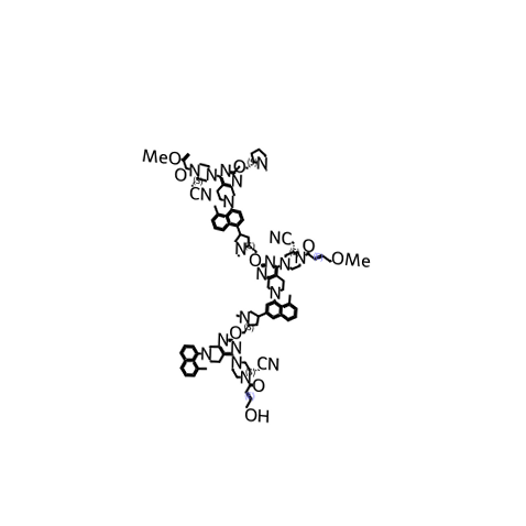 C=C(OC)C(=O)N1CCN(c2nc(OC[C@@H]3CCCN3C)nc3c2CCN(c2ccc(C4C[C@@H](COc5nc6c(c(N7CCN(C(=O)/C=C/COC)[C@@H](CC#N)C7)n5)CCN(c5cc(C7C[C@@H](COc8nc9c(c(N%10CCN(C(=O)/C=C/CO)[C@@H](CC#N)C%10)n8)CCN(c8cccc%10cccc(C)c8%10)C9)N(C)C7)cc7cccc(C)c57)C6)N(C)C4)c4cccc(C)c24)C3)C[C@@H]1CC#N